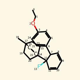 CCOc1ccc(C2C=CC=CC2(F)C23CCC(C)(CC2)CC3)cc1